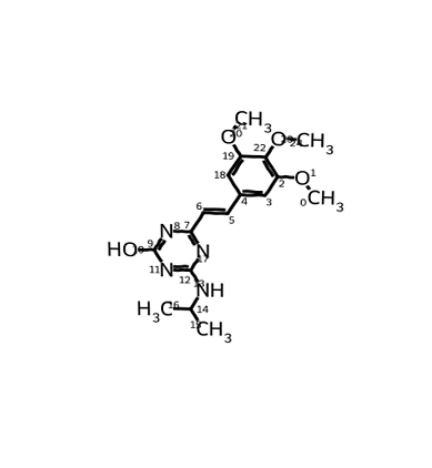 COc1cc(C=Cc2nc(O)nc(NC(C)C)n2)cc(OC)c1OC